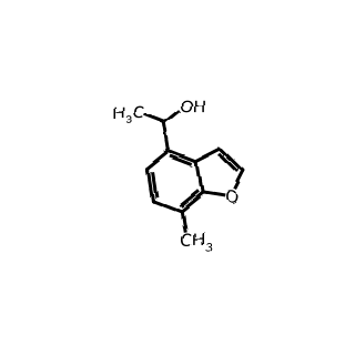 Cc1ccc(C(C)O)c2ccoc12